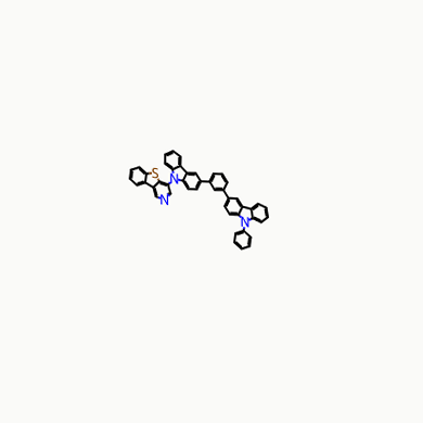 c1ccc(-n2c3ccccc3c3cc(-c4cccc(-c5ccc6c(c5)c5ccccc5n6-c5cncc6c5sc5ccccc56)c4)ccc32)cc1